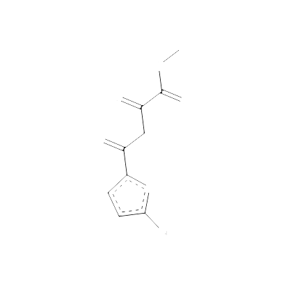 COC(=O)C(=O)CC(=O)c1ccc(Br)s1